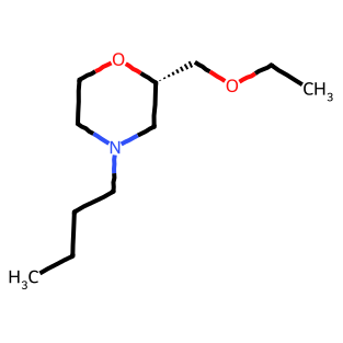 CCCCN1CCO[C@H](COCC)C1